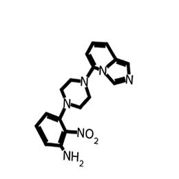 Nc1cccc(N2CCN(c3cccc4cncn34)CC2)c1[N+](=O)[O-]